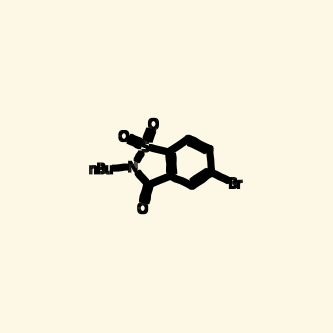 CCCCN1C(=O)c2cc(Br)ccc2S1(=O)=O